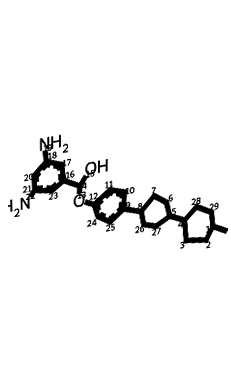 CC1CCC(C2CCC(c3ccc(OC(O)c4cc(N)cc(N)c4)cc3)CC2)CC1